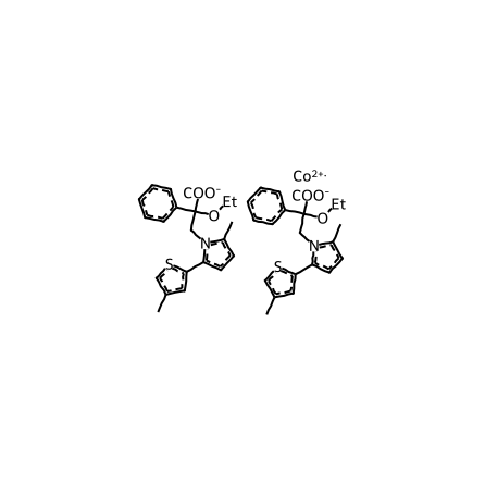 CCOC(Cn1c(C)ccc1-c1cc(C)cs1)(C(=O)[O-])c1ccccc1.CCOC(Cn1c(C)ccc1-c1cc(C)cs1)(C(=O)[O-])c1ccccc1.[Co+2]